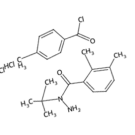 Cc1ccc(C(=O)Cl)cc1.Cc1cccc(C(=O)N(N)C(C)(C)C)c1C.Cl.Cl